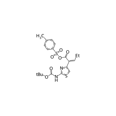 CC/C=C(\C(=O)OS(=O)(=O)c1ccc(C)cc1)c1csc(NC(=O)OC(C)(C)C)n1